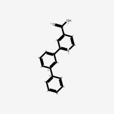 O=C(O)c1ccnc(-c2cccc(-c3ccccc3)c2)c1